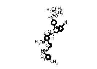 COc1cc(Cl)c(C(=O)N[C@@H](CNC2CCC(NC(=O)OC(C)(C)C)CC2)Cc2ccc(C#N)cc2)cc1-c1ccc(CNC(C)c2ccc(C)cc2)o1